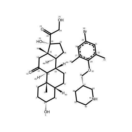 C[C@]12CC[C@@H](O)C[C@H]1CC[C@@H]1[C@@H]2C(=O)C[C@@]2(C)[C@H]1CC[C@]2(O)C(=O)CO.Cc1cc(Br)cc(C)c1OC[C@H]1CCCNC1